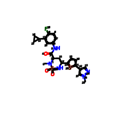 CN1C(C(=O)Nc2ccc(F)c(C3CC3)c2)CC(c2ccc(-c3cnn(C)c3)s2)NS1(=O)=O